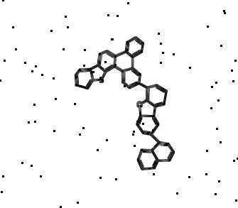 c1ccc2c(-c3ccc4oc5c(-c6ccc7c(c6)c6ccccc6c6ccc8c9ccccc9sc8c67)cccc5c4c3)cccc2c1